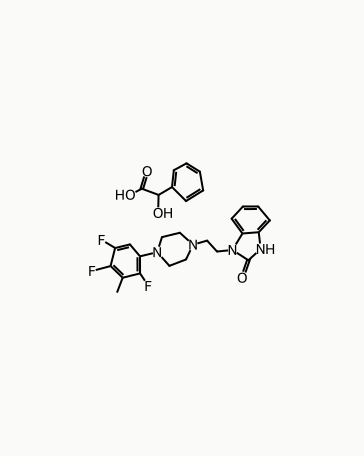 Cc1c(F)c(F)cc(N2CCN(CCn3c(=O)[nH]c4ccccc43)CC2)c1F.O=C(O)C(O)c1ccccc1